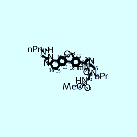 CCCN(C)Cc1nc2c([nH]1)-c1cc3c(cc1CC2)-c1ccc(-c2cnc(CN(CCC)C(=O)CNC(=O)OC)[nH]2)cc1CO3